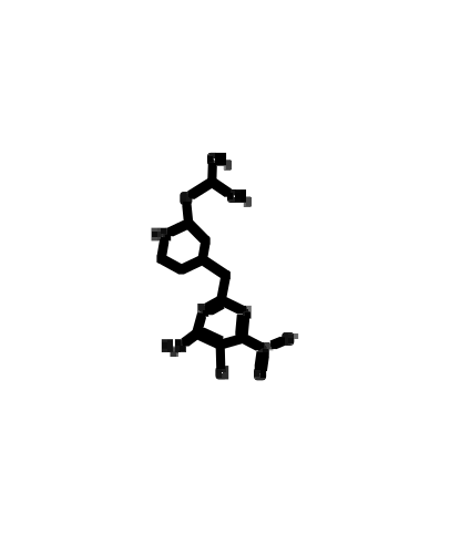 CC(C)OC1CC(Cc2nc(N)c(Cl)c([N+](=O)[O-])n2)CCN1